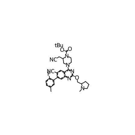 Cc1ccc(F)c(-c2cc3nc(OCC4CCCN4C)nc(N4CCN(C(=O)OC(C)(C)C)C(CC#N)C4)c3cc2C#N)c1